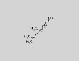 C=CC/N=C/C=C(\C)CCC=C(C)C